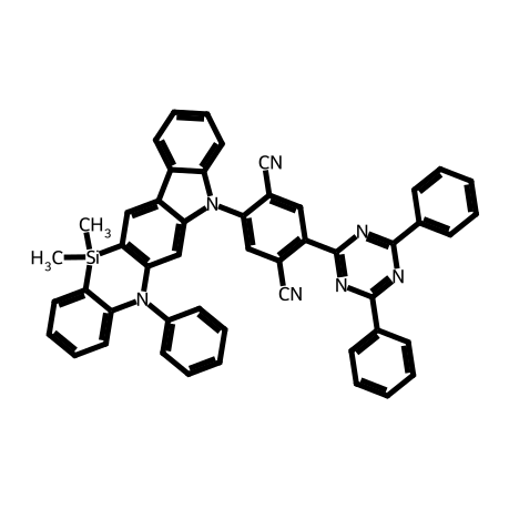 C[Si]1(C)c2ccccc2N(c2ccccc2)c2cc3c(cc21)c1ccccc1n3-c1cc(C#N)c(-c2nc(-c3ccccc3)nc(-c3ccccc3)n2)cc1C#N